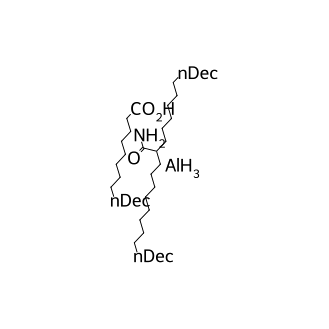 CCCCCCCCCCCCCCCCCC(=O)O.CCCCCCCCCCCCCCCCCCC(CCCCCCCCCCCCCCCC)C(N)=O.[AlH3]